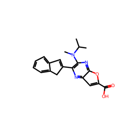 CC(C)N(C)c1nc2oc(C(=O)O)cc2nc1C1=Cc2ccccc2C1